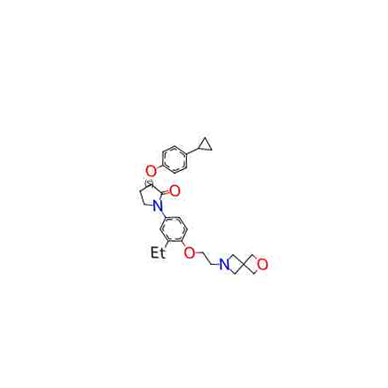 CCc1cc(N2CC[C@H](Oc3ccc(C4CC4)cc3)C2=O)ccc1OCCN1CC2(COC2)C1